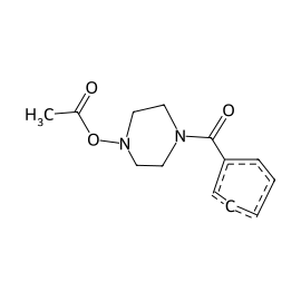 CC(=O)ON1CCN(C(=O)c2ccccc2)CC1